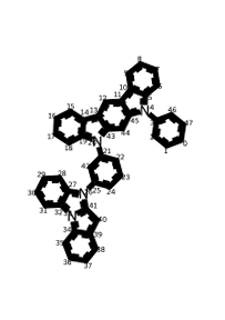 c1ccc(-n2c3ccccc3c3cc4c5ccccc5n(-c5cccc(-n6c7ccccc7n7c8ccccc8cc67)c5)c4cc32)cc1